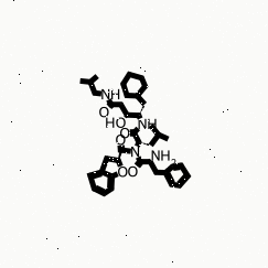 CC(C)CNC(=O)C[C@H](O)[C@H](CC1CCCCC1)NC(=O)[C@H](CC(C)C)N(C(=O)C(N)Cc1ccccc1)C(=O)[C@@H]1Cc2ccccc2O1